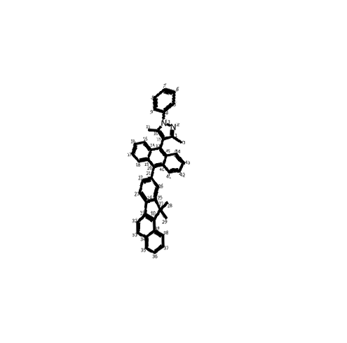 Cc1nn(-c2ccccc2)c(C)c1-c1c2ccccc2c(-c2ccc3c(c2)C(C)(C)c2c-3ccc3ccccc23)c2ccccc12